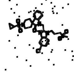 CS(=O)(=O)CCCn1c(CN2C(=O)C3(CCN(S(=O)(=O)C4CC4)CC3)c3ccccc32)nc2cc(Cl)ccc21